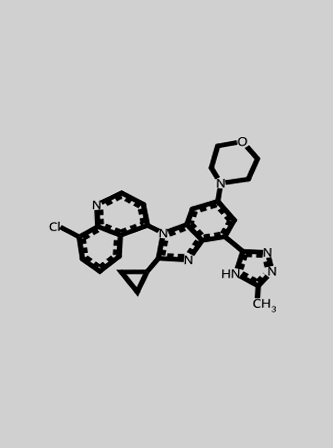 Cc1nnc(-c2cc(N3CCOCC3)cc3c2nc(C2CC2)n3-c2ccnc3c(Cl)cccc23)[nH]1